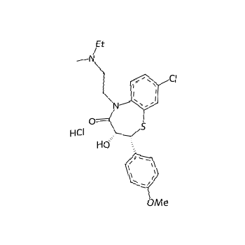 CCN(C)CCN1C(=O)[C@@H](O)[C@@H](c2ccc(OC)cc2)Sc2cc(Cl)ccc21.Cl